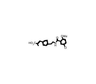 COc1ccc(Cl)cc1C(=O)NCCc1ccc(/C=C(\C)C(=O)O)cc1